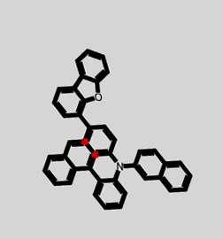 c1ccc(N(c2ccc(-c3cccc4c3oc3ccccc34)cc2)c2ccc3ccccc3c2)c(-c2cccc3ccccc23)c1